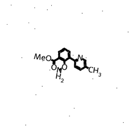 COC(=O)c1cccc(-c2ccc(C)cn2)c1ON